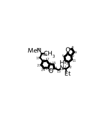 CCC(Cc1ccc2occc2c1)NCc1cc2cc(CC(C)NC)ccc2o1